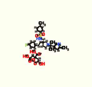 Cc1ccc(S(=O)(=O)NC[C@@]2(CCc3ccc(F)cc3)CCN(C(C)(C)c3ccc(C)nc3)C2)cc1.O=C(O)CC(O)(CC(=O)O)C(=O)O